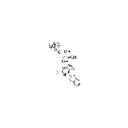 CP(=O)(O)OOC[C@H]1O[C@@H](n2cnc3c(N4Cc5ccccc5C4)nc(Cl)nc32)[C@H](O)[C@@H]1O